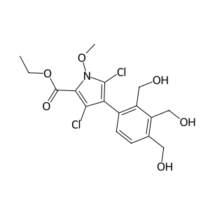 CCOC(=O)c1c(Cl)c(-c2ccc(CO)c(CO)c2CO)c(Cl)n1OC